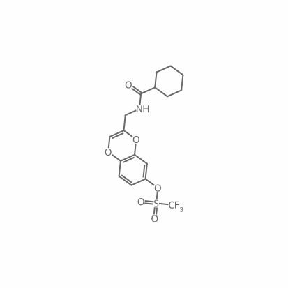 O=C(NCC1=COc2ccc(OS(=O)(=O)C(F)(F)F)cc2O1)C1CCCCC1